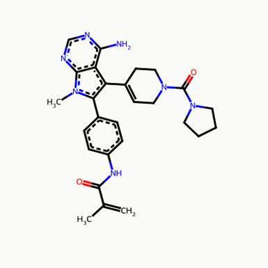 C=C(C)C(=O)Nc1ccc(-c2c(C3=CCN(C(=O)N4CCCC4)CC3)c3c(N)ncnc3n2C)cc1